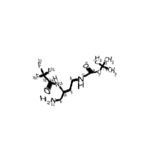 CC(C)(C)OC(=O)NCCC(CN)NC(=O)C(F)(F)F